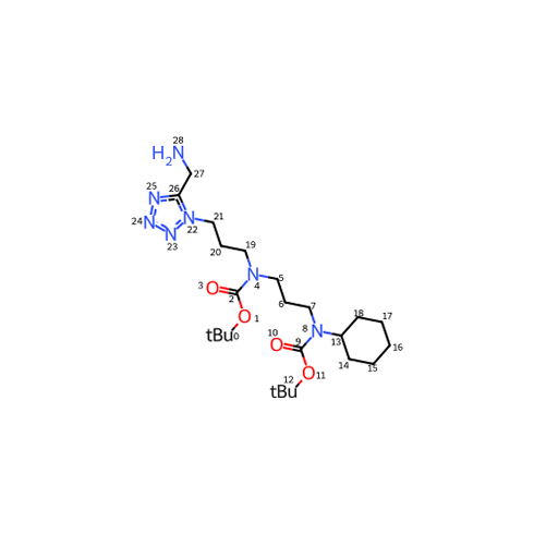 CC(C)(C)OC(=O)N(CCCN(C(=O)OC(C)(C)C)C1CCCCC1)CCCn1nnnc1CN